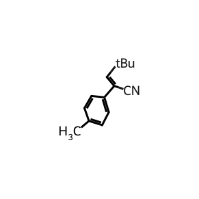 Cc1ccc(C(C#N)=CC(C)(C)C)cc1